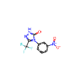 O=c1[nH]nc(C(F)(F)F)n1-c1cccc([N+](=O)[O-])c1